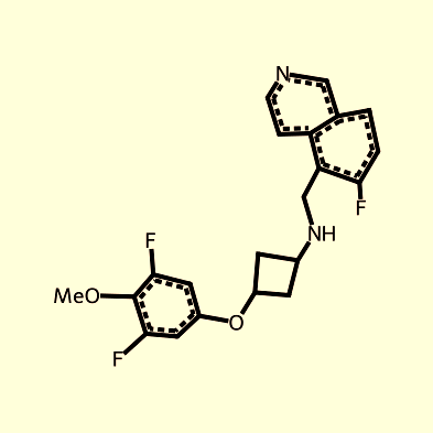 COc1c(F)cc(OC2CC(NCc3c(F)ccc4cnccc34)C2)cc1F